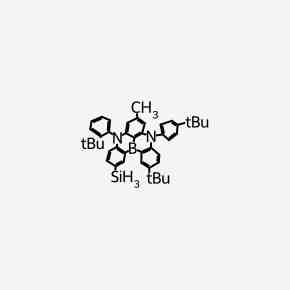 Cc1cc2c3c(c1)N(c1ccccc1C(C)(C)C)c1ccc([SiH3])cc1B3c1cc(C(C)(C)C)ccc1N2c1ccc(C(C)(C)C)cc1